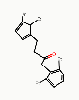 CCc1cccc(CC)c1CC(=O)CCC1=CC=C(C(C)C)C1CC